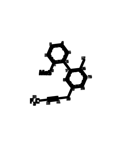 CSc1ccccc1-c1cc(CC#CC(F)(F)F)c[c]c1C